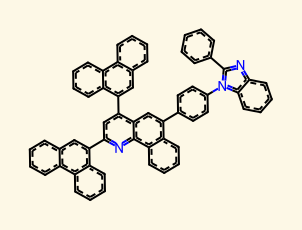 c1ccc(-c2nc3ccccc3n2-c2ccc(-c3cc4c(-c5cc6ccccc6c6ccccc56)cc(-c5cc6ccccc6c6ccccc56)nc4c4ccccc34)cc2)cc1